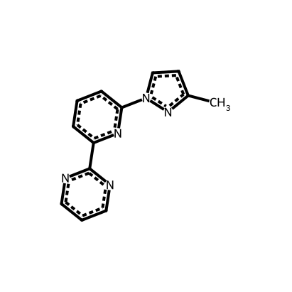 Cc1ccn(-c2cccc(-c3ncccn3)n2)n1